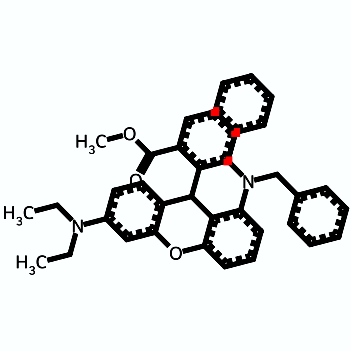 CCN(CC)c1ccc2c(c1)Oc1cccc(N(Cc3ccccc3)Cc3ccccc3)c1C2c1ccccc1C(=O)OC